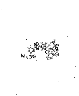 COC(=O)c1cccc(-c2noc(C34CCC(CCc5c(-c6c(Cl)cccc6Cl)noc5C5CC5)(CC3)CC4)n2)c1